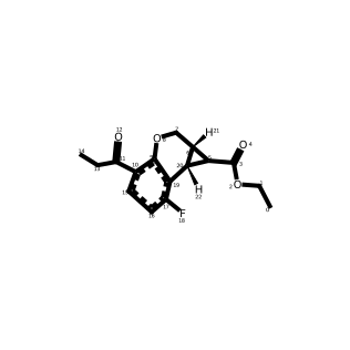 CCOC(=O)C1[C@H]2COc3c(C(=O)CC)ccc(F)c3[C@@H]12